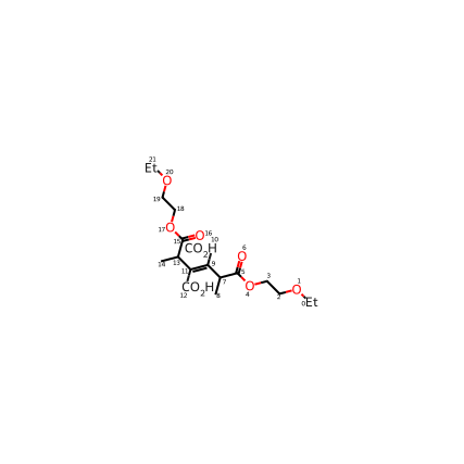 CCOCCOC(=O)C(C)/C(C(=O)O)=C(\C(=O)O)C(C)C(=O)OCCOCC